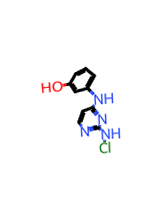 Oc1cccc(Nc2ccnc(NCl)n2)c1